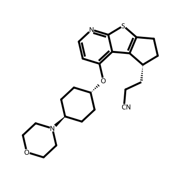 N#CCC[C@H]1CCc2sc3nccc(O[C@H]4CC[C@H](N5CCOCC5)CC4)c3c21